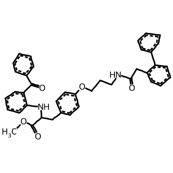 COC(=O)C(Cc1ccc(OCCCNC(=O)Cc2ccccc2-c2ccccc2)cc1)Nc1ccccc1C(=O)c1ccccc1